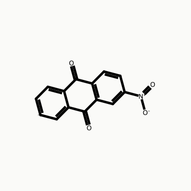 O=C1c2cc[c]cc2C(=O)c2cc([N+](=O)[O-])ccc21